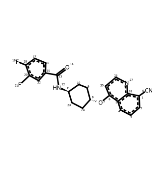 N#Cc1cccc2c(O[C@H]3CC[C@H](NC(=O)c4ccc(F)c(F)c4)CC3)ccnc12